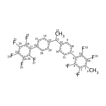 Cc1c(F)c(F)c(-c2ccc(C(C)c3ccc(-c4c(F)c(F)c(F)c(F)c4F)cc3)cc2)c(F)c1F